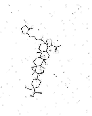 C=C(C)[C@@H]1CC[C@]2(NCCCN3CCCC3=O)CC[C@]3(C)[C@H](CC[C@@H]4[C@@]5(C)CC=C(C6=CCC(CF)(C(=O)O)CC6)C(C)(C)[C@@H]5CC[C@]43C)[C@@H]12